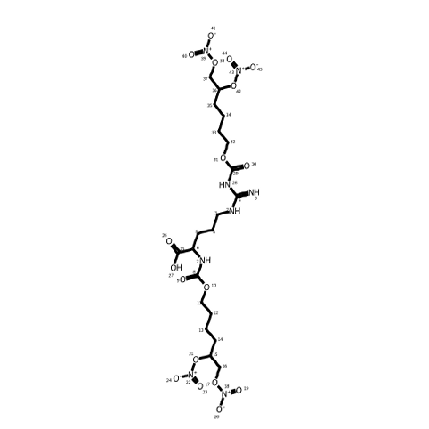 N=C(NCCCC(NC(=O)OCCCCC(CO[N+](=O)[O-])O[N+](=O)[O-])C(=O)O)NC(=O)OCCCCC(CO[N+](=O)[O-])O[N+](=O)[O-]